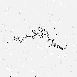 CCCCCCCCCCCCCCC(C)OC(=O)CCC(=O)OCC